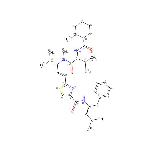 CC(C)C[C@H](Cc1ccccc1)NC(=O)c1csc(/C=C/[C@H](C(C)C)N(C)C(=O)[C@@H](NC(=O)[C@H]2CCCCN2C)C(C)C)n1